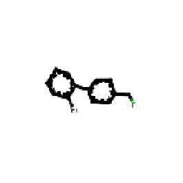 CCc1ccccc1-c1ccc(CF)cc1